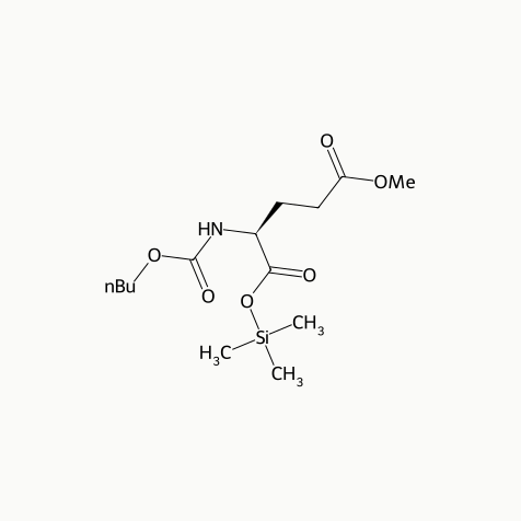 CCCCOC(=O)N[C@@H](CCC(=O)OC)C(=O)O[Si](C)(C)C